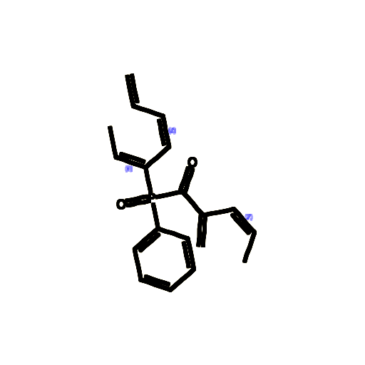 C=C/C=C\C(=C/C)P(=O)(C(=O)C(=C)/C=C\C)c1ccccc1